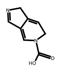 O=C(O)N1C=C2C=NCC2=CC1